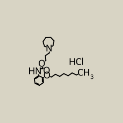 CCCCCCCCOc1ccccc1NC(=O)OCCCN1CCCCCC1.Cl